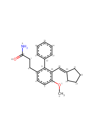 COc1ccc(CCC(N)=O)c(-c2ccccc2)c1C=C1CCCC1